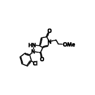 COCCn1cc2c(=O)n(-c3ccccc3Cl)[nH]c2cc1=O